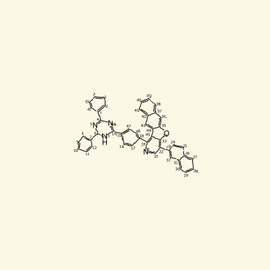 c1ccc(C2=NC(c3ccccc3)NC(c3ccc(-c4ncc(-c5ccc6ccccc6c5)c5oc6cc7ccccc7cc6c45)cc3)=N2)cc1